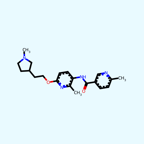 Cc1ccc(C(=O)Nc2ccc(OCCC3CCN(C)C3)nc2C)cn1